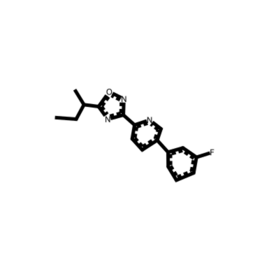 CCC(C)c1nc(-c2ccc(-c3cccc(F)c3)cn2)no1